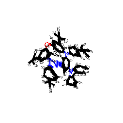 CC(C)(C)c1ccc(N2c3cc(C(C)(C)C)cc4c3[SiH]3c5c(cc(C(C)(C)C)cc5N(c5ccc(C(C)(C)C)cc5)c5cc(-n6c7ccccc7c7ccccc76)cc2c53)O4)cc1